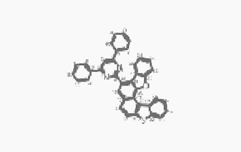 c1ccc(-c2cc(-c3ccccc3)nc(-c3cc4ccc5sc6ccccc6c5c4c4oc5ccccc5c34)n2)cc1